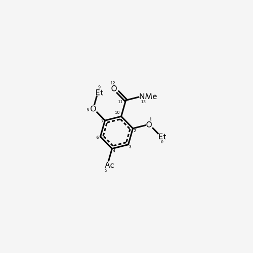 CCOc1cc(C(C)=O)cc(OCC)c1C(=O)NC